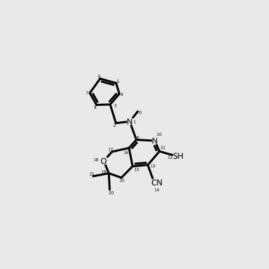 CN(Cc1ccccc1)c1nc(S)c(C#N)c2c1COC(C)(C)C2